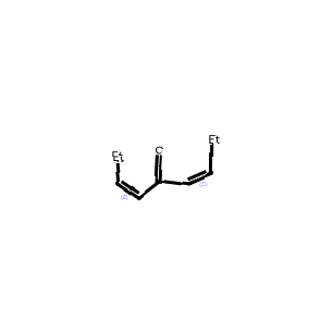 CC/C=C\C(=O)/C=C\CC